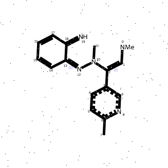 CN/C=C(/c1ccc(C)nc1)N(C)/N=C1/C=CC=CC1=N